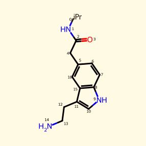 CC(C)NC(=O)Cc1ccc2[nH]cc(CCN)c2c1